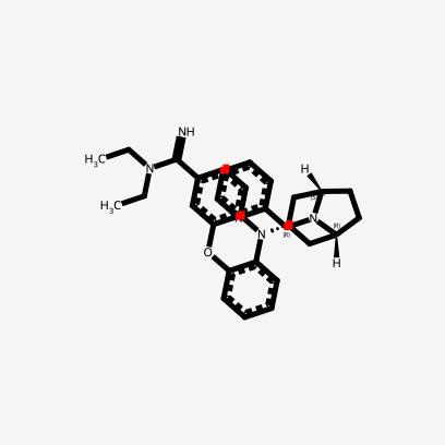 CCN(CC)C(=N)c1ccc2c(c1)Oc1ccccc1N2[C@H]1C[C@H]2CC[C@@H](C1)N2Cc1ccccn1